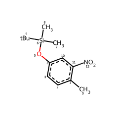 Cc1ccc(O[Si](C)(C)C(C)(C)C)cc1[N+](=O)[O-]